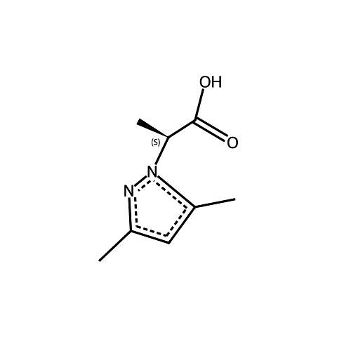 Cc1cc(C)n([C@@H](C)C(=O)O)n1